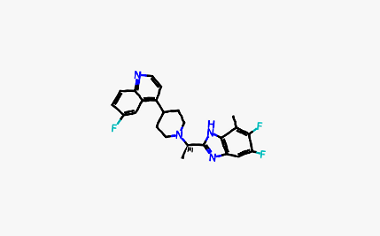 Cc1c(F)c(F)cc2nc([C@@H](C)N3CCC(c4ccnc5ccc(F)cc45)CC3)[nH]c12